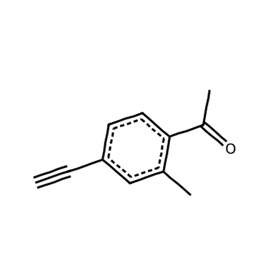 C#Cc1ccc(C(C)=O)c(C)c1